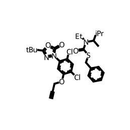 C#CCOc1cc(-n2nc(C(C)(C)C)oc2=O)c(Cl)cc1Cl.CCN(C(=O)SCc1ccccc1)C(C)C(C)C